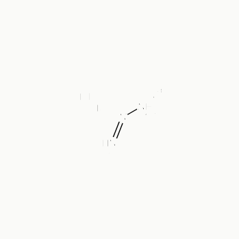 Cl.Cl.N=NN.[Ta]